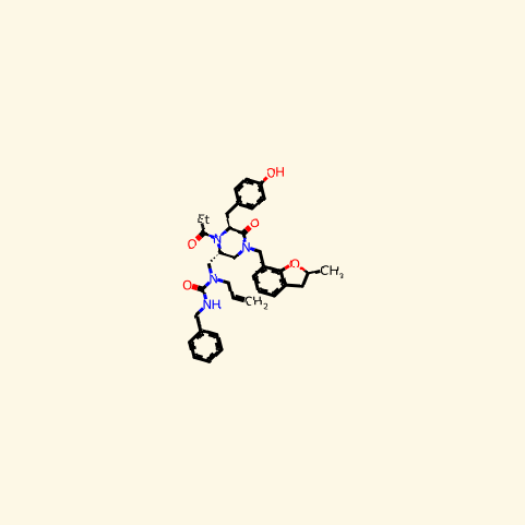 C=CCN(C[C@H]1CN(Cc2cccc3c2OC(C)C3)C(=O)[C@H](Cc2ccc(O)cc2)N1C(=O)CC)C(=O)NCc1ccccc1